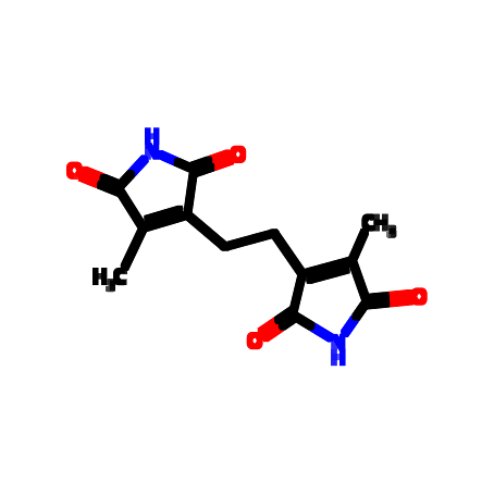 CC1=C(CCC2=C(C)C(=O)NC2=O)C(=O)NC1=O